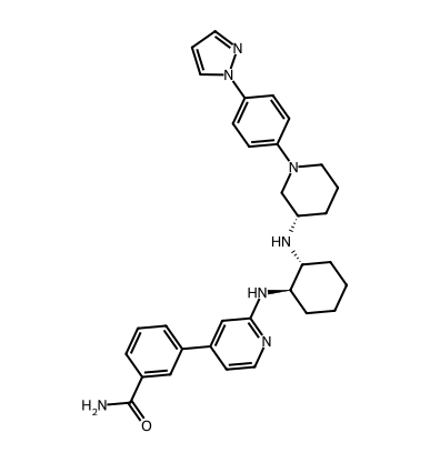 NC(=O)c1cccc(-c2ccnc(N[C@@H]3CCCC[C@H]3N[C@H]3CCCN(c4ccc(-n5cccn5)cc4)C3)c2)c1